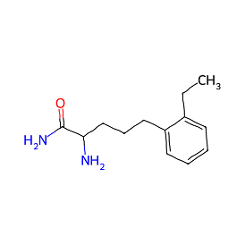 CCc1ccccc1CCCC(N)C(N)=O